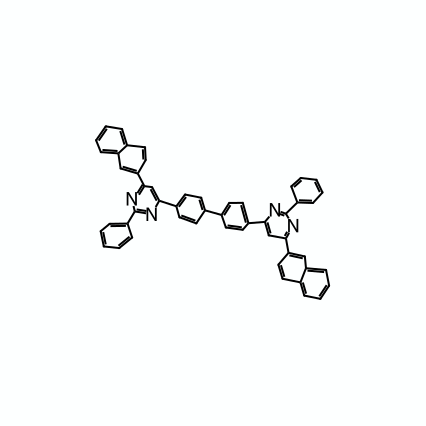 c1ccc(-c2nc(-c3ccc(-c4ccc(-c5cc(-c6ccc7ccccc7c6)nc(-c6ccccc6)n5)cc4)cc3)cc(-c3ccc4ccccc4c3)n2)cc1